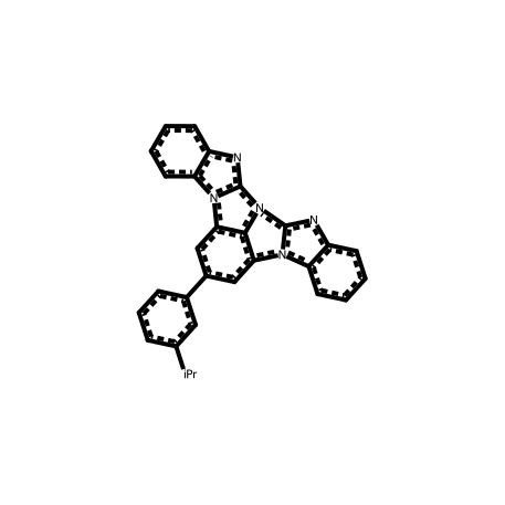 CC(C)c1cccc(-c2cc3c4c(c2)n2c5ccccc5nc2n4c2nc4ccccc4n32)c1